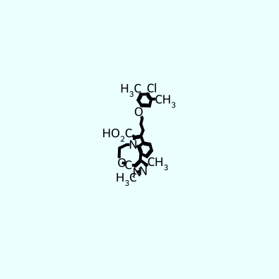 Cc1cc(OCCCc2c(C(=O)O)n3c4c(cccc24)-c2c(C)nn(C)c2COCCC3)cc(C)c1Cl